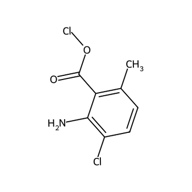 Cc1ccc(Cl)c(N)c1C(=O)OCl